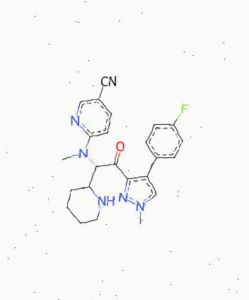 CN(c1ccc(C#N)cn1)[C@H](C(=O)c1nn(C)cc1-c1ccc(F)cc1)C1CCCCN1